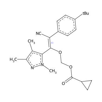 Cc1nn(C)c(/C(OCOC(=O)C2CC2)=C(\C#N)c2ccc(C(C)(C)C)cc2)c1C